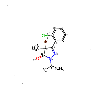 CC(C)N1N=C(c2ccccc2Cl)C(C)(Br)C1=O